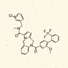 COc1cc(C(=O)N2Cc3ccc(C(=O)N(C)Cc4ccc[n+]([O-])c4)n3Cc3ccccc32)ccc1-c1ccccc1C(F)(F)F